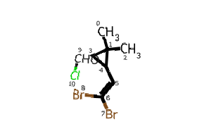 CC1(C)CC1C=C(Br)Br.O=CCl